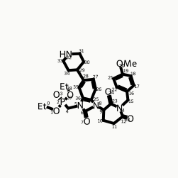 CCOP(=O)(Cn1c(=O)n(C2CCC(=O)N(Cc3ccc(OC)cc3)C2=O)c2ccc(C3CCNCC3)cc21)OCC